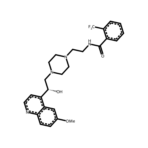 COc1ccc2nccc([C@@H](O)CN3CCN(CCNC(=O)c4ccccc4C(F)(F)F)CC3)c2c1